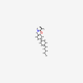 C=C(C)C(=O)N(C)CC1CCC(C2CCC(CCCCC)CC2)CC1